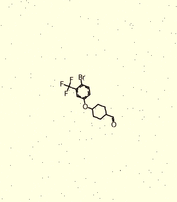 O=CC1CCC(Oc2ccc(Br)c(C(F)(F)F)c2)CC1